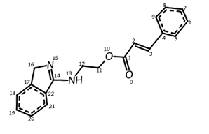 O=C(/C=C/c1ccccc1)OCCNC1=NCc2ccccc21